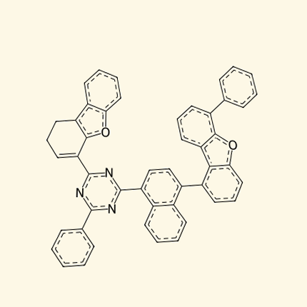 C1=C(c2nc(-c3ccccc3)nc(-c3ccc(-c4cccc5oc6c(-c7ccccc7)cccc6c45)c4ccccc34)n2)c2oc3ccccc3c2CC1